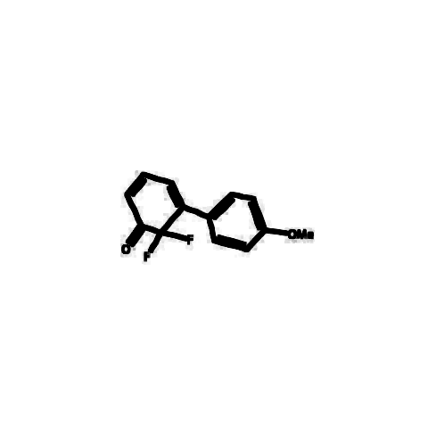 COc1ccc(C2=CC=CC(=O)C2(F)F)cc1